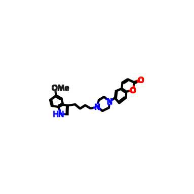 COc1ccc2[nH]cc(CCCCN3CCN(c4ccc5oc(=O)ccc5c4)CC3)c2c1